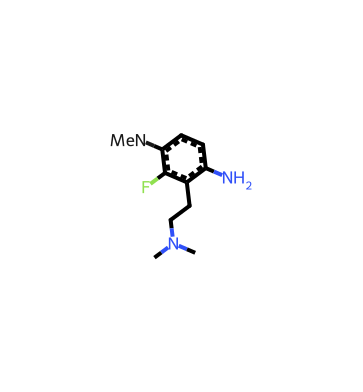 CNc1ccc(N)c(CCN(C)C)c1F